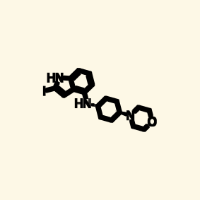 Ic1cc2c(N[C@H]3CC[C@H](N4CCOCC4)CC3)cccc2[nH]1